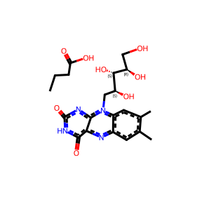 CCCC(=O)O.Cc1cc2nc3c(=O)[nH]c(=O)nc-3n(C[C@H](O)[C@H](O)[C@H](O)CO)c2cc1C